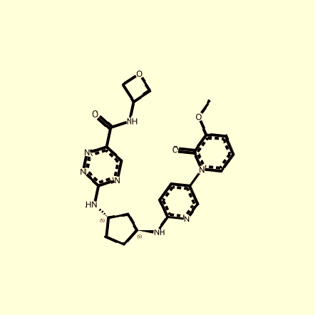 COc1cccn(-c2ccc(N[C@H]3CC[C@H](Nc4ncc(C(=O)NC5COC5)nn4)C3)nc2)c1=O